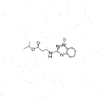 CC(C)OC(=O)CCNc1nc2ccccc2[n+]([O-])n1